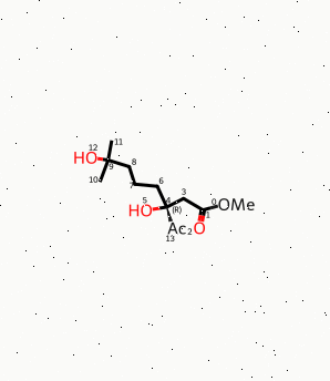 COC(=O)C[C@](O)(CCCC(C)(C)O)C(C)=O